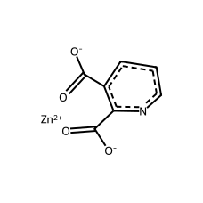 O=C([O-])c1cccnc1C(=O)[O-].[Zn+2]